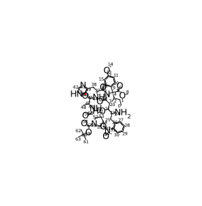 CCC(C)[C@](C(=O)OC)(c1ccc(OC)cc1)N(C(=O)CC(O)[C@@H](N)Cc1ccccc1[N+](=O)[O-])C(=O)[C@H](Cc1c[nH]cn1)NC(=O)C(C)NC(=O)[C@@H]1CCCN1C(=O)OC(C)(C)C